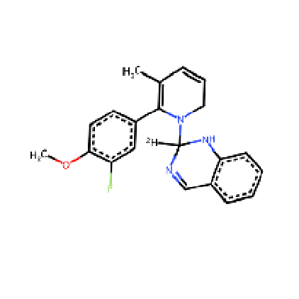 [2H]C1(N2CC=CC(C)=C2c2ccc(OC)c(F)c2)N=Cc2ccccc2N1